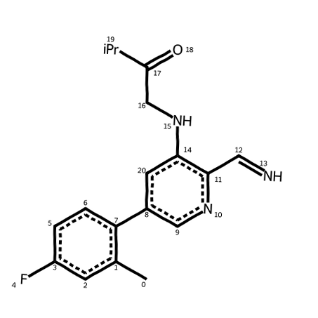 Cc1cc(F)ccc1-c1cnc(C=N)c(NCC(=O)C(C)C)c1